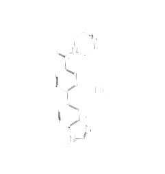 C[C@@H]1CN(C(=O)c2ccc(-c3ccc4c(c3)ncn4C)cc2)CCN1.Cl